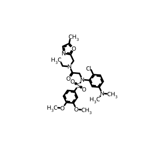 CCN(Cc1ncc(C)o1)C(=O)CN(c1cc(N(C)C)ccc1Cl)S(=O)(=O)c1ccc(OC)c(OC)c1